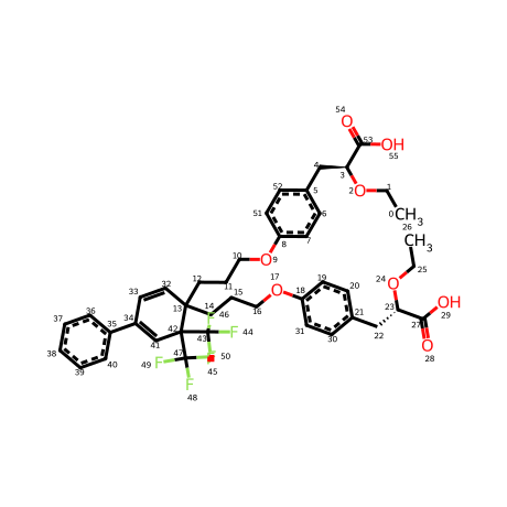 CCO[C@@H](Cc1ccc(OCCCC2(CCCOc3ccc(C[C@H](OCC)C(=O)O)cc3)C=CC(c3ccccc3)=CC2(C(F)(F)F)C(F)(F)F)cc1)C(=O)O